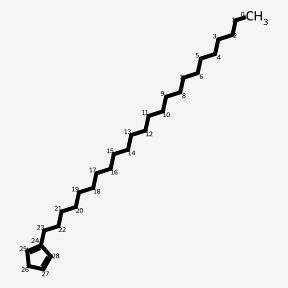 CCCCCCCCCCCCCCCCCCCCCCCCC1=[C]CC=C1